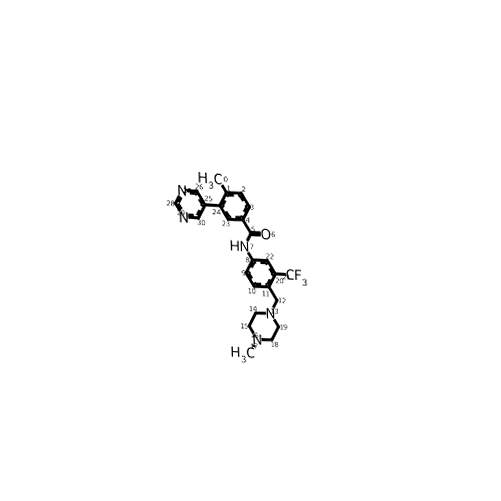 Cc1ccc(C(=O)Nc2ccc(CN3CCN(C)CC3)c(C(F)(F)F)c2)cc1-c1cncnc1